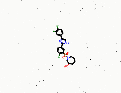 O=S(=O)(c1cc(-c2nc(-c3ccc(Br)c(F)c3)c[nH]2)ccc1Cl)N1CCCC[C@@H](O)C1